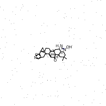 CC1(C)CC[C@]2(/C(N)=N/O)CC[C@]3(C)[C@H](C(=O)C=C4[C@@]5(C)Cc6cnoc6C6(C)C[C@]65CC[C@]43C)[C@@H]2C1